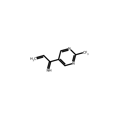 C=CC(=N)c1cnc(C(F)(F)F)nc1